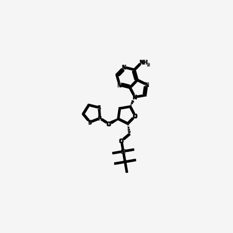 CC(C)(C)[Si](C)(C)OC[C@H]1O[C@@H](n2cnc3c(N)ncnc32)C[C@@H]1OP1SCCS1